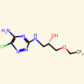 Nc1nc(NC[C@H](O)COCC(F)(F)F)nnc1Cl